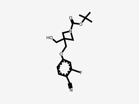 CC(C)(C)OC(=O)N1CC(CO)(COc2ccc(C#N)c(F)c2)C1